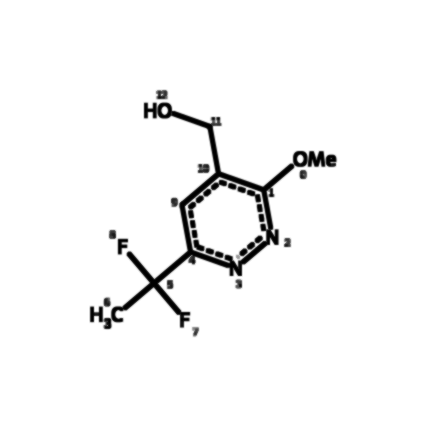 COc1nnc(C(C)(F)F)cc1CO